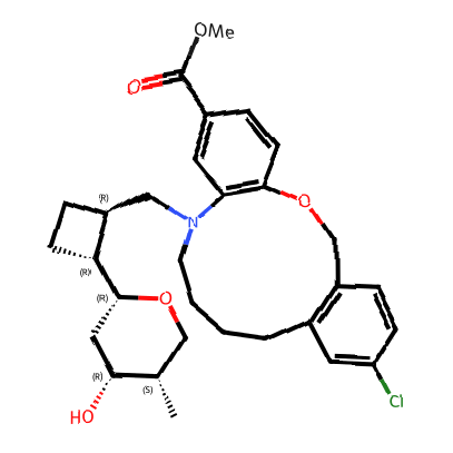 COC(=O)c1ccc2c(c1)N(C[C@@H]1CC[C@H]1[C@H]1C[C@@H](O)[C@@H](C)CO1)CCCCc1cc(Cl)ccc1CO2